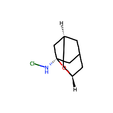 ClN[C@]12CC3C[C@@H](C[C@H](C3)O1)C2